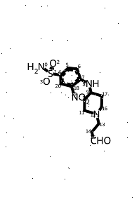 NS(=O)(=O)c1ccc(NC2CCN(CCC=O)CC2)c([N+](=O)[O-])c1